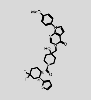 COc1ccc(-n2ccc3c(=O)n(CC4(O)CCN(C(=O)[C@H]5CCC(F)(F)C[C@@H]5c5cccs5)CC4)cnc32)cc1